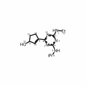 CCNc1nc(NC(C)C)nc(C2=CC(O)CC2)n1